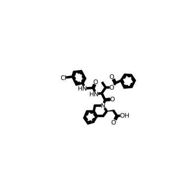 CC(OC(=O)c1ccccc1)C(NC(=O)Nc1cccc(Cl)c1)C(=O)N1Cc2ccccc2C[C@@H]1CC(=O)O